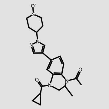 CC(=O)N1c2ccc(-c3cnn(C4CC[S+]([O-])CC4)c3)cc2N(C(=O)C2CC2)CC1C